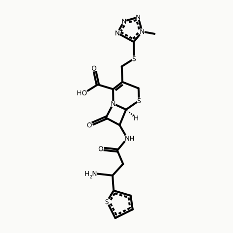 Cn1nnnc1SCC1=C(C(=O)O)N2C(=O)C(NC(=O)CC(N)c3cccs3)[C@@H]2SC1